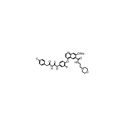 COc1cc2nccc(Oc3ccc(NC(=S)NC(=O)Cc4ccc(F)cc4)cc3F)c2cc1C(=O)NCCN1CCOCC1